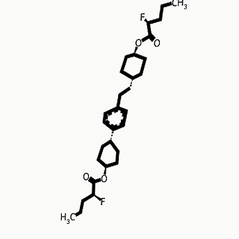 CCC[C@H](F)C(=O)O[C@H]1CC[C@H](CCc2ccc([C@H]3CC[C@H](OC(=O)[C@@H](F)CCC)CC3)cc2)CC1